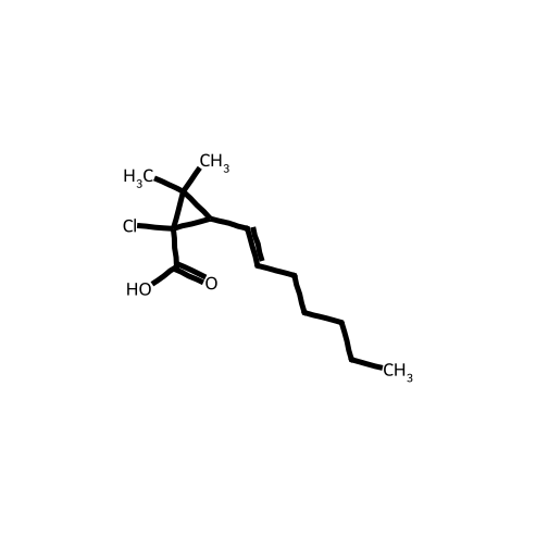 CCCCCC=CC1C(C)(C)C1(Cl)C(=O)O